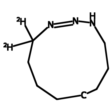 [2H]C1([2H])CCCCCCCNN=N1